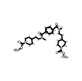 CN(CCC1CCN(C(=O)OC(C)(C)C)CC1)C(=O)c1ccc(C(=O)N(C)CCC2CCN(C(=O)OC(C)(C)C)CC2)cc1